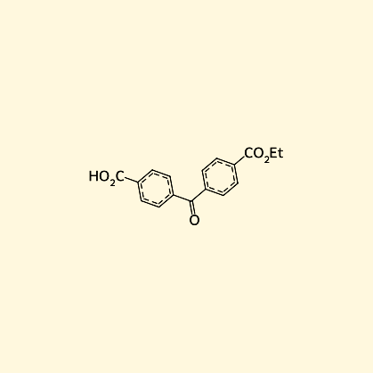 CCOC(=O)c1ccc(C(=O)c2ccc(C(=O)O)cc2)cc1